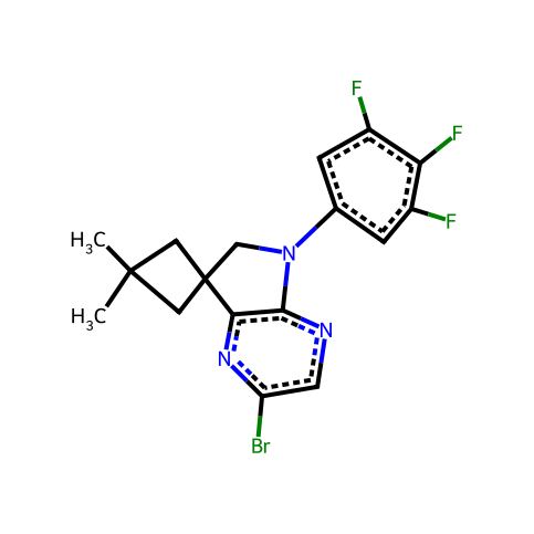 CC1(C)CC2(CN(c3cc(F)c(F)c(F)c3)c3ncc(Br)nc32)C1